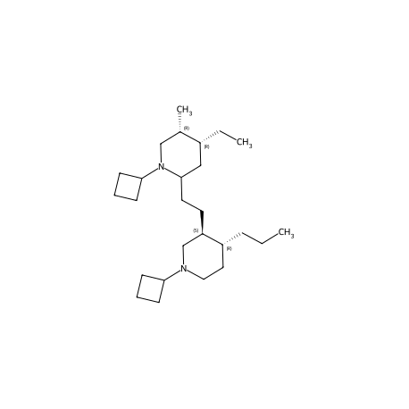 CCC[C@@H]1CCN(C2CCC2)C[C@H]1CCC1C[C@@H](CC)[C@@H](C)CN1C1CCC1